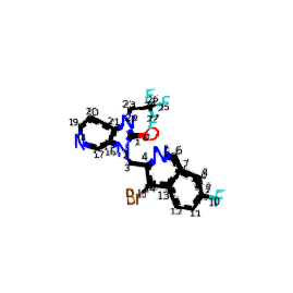 O=c1n(Cc2ncc3cc(F)ccc3c2Br)c2cnccc2n1CC(F)(F)F